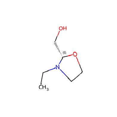 CCN1CCO[C@H]1CO